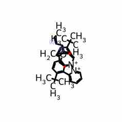 C=C1CC[N+]23c4c(ccc(C(C)(C)C)c4/C1=C/C=C\C)Oc1ccc(C(C)(C)C)c(c12)-c1cccc[n+]13